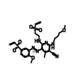 C=CS(=O)(=O)CCNc1nc(NCCCOC)c(C#N)c(C)c1/N=N/c1cc(S(=O)(=O)C=C)ccc1OC